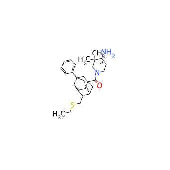 CCSCC1C2CC3(C(=O)N4CC[C@H](N)C(C)(C)C4)CC1CC(c1ccccc1)(C2)C3